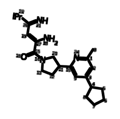 Cc1cc(C2CCCC2)cc(C2CCN(C(=O)/C(N)=C/C(=N)C(C)C)C2)n1